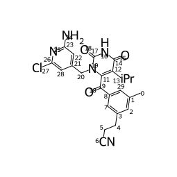 Cc1cc(CCC#N)cc(C(=O)c2c(C(C)C)c(=O)[nH]c(=O)n2Cc2cc(N)nc(Cl)c2)c1